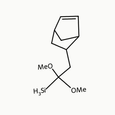 COC([SiH3])(CC1CC2C=CC1C2)OC